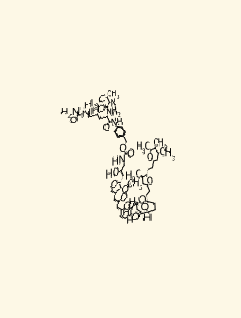 C=C1CC(CC[C@]23CC[C@@H](O2)C2C[C@@H](O3)[C@H]3OC(CC(=O)C[C@H]4CO[C@H](CC(O)CNC(=O)OCc5ccc(NC(=O)C(CCCNC(N)=O)NC(=O)[C@@H](N)C(C)C)cc5)[C@@H]4OC)CC[C@@H]3O2)O[C@H]1CCC1C[C@@H](C)C(=C)[C@@H](C)O1